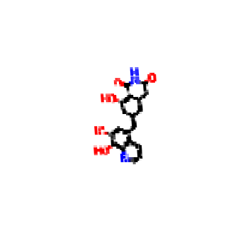 O=C1CC2=CC(=Cc3cc(O)c(O)c4ncccc34)CC(O)=C2C(=O)N1